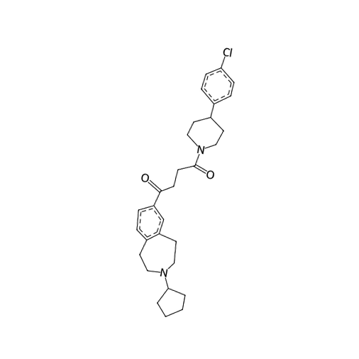 O=C(CCC(=O)N1CCC(c2ccc(Cl)cc2)CC1)c1ccc2c(c1)CCN(C1CCCC1)CC2